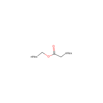 [CH2]CCCCCCOC(=O)CCCCCCC